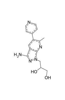 Cc1nc2c(cc1-c1ccncc1)c(N)nn2CC(O)CO